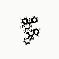 O=C(N[C@H]1N=C(c2ccccc2)c2ccccc2NC1=O)c1c(-c2ccccc2F)nn2c1OCCC2